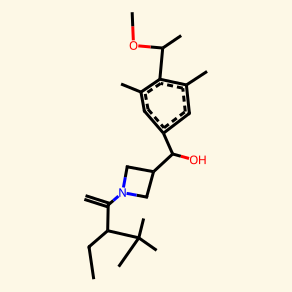 C=C(C(CC)C(C)(C)C)N1CC(C(O)c2cc(C)c(C(C)OC)c(C)c2)C1